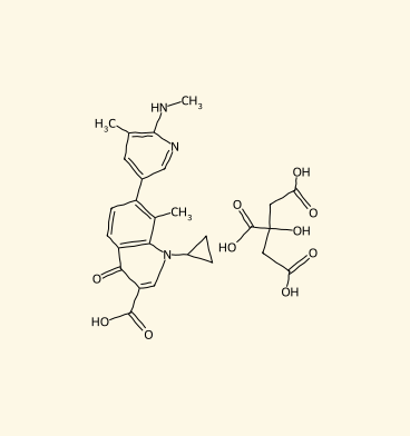 CNc1ncc(-c2ccc3c(=O)c(C(=O)O)cn(C4CC4)c3c2C)cc1C.O=C(O)CC(O)(CC(=O)O)C(=O)O